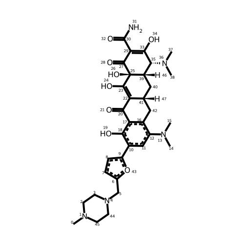 CN1CCN(Cc2ccc(-c3cc(N(C)C)c4c(c3O)C(=O)C3=C(O)[C@]5(O)C(=O)C(C(N)=O)=C(O)[C@H](N(C)C)[C@@H]5C[C@@H]3C4)o2)CC1